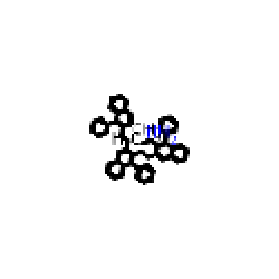 CCC(N)c1c(CCc2c(CCc3c(C)cc4ccccc4c3-c3ccccc3)cc3ccccc3c2-c2ccccc2)cc2ccccc2c1-c1ccccc1